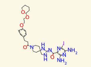 Nc1nc(N)c(C(=O)/N=C2\NCC3(CCN(C(=O)CCc4ccc(OCCOC5CCCCO5)cc4)CC3)N2)nc1I